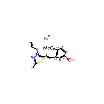 C=CC[n+]1nc(C)sc1C=Cc1cc(O)ccc1OC.[Br-]